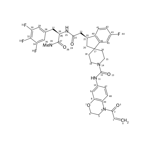 C=CC(=O)N1CCOc2cc(NC(=O)N3CCC4(CC3)C[C@@H](CC(=O)N[C@H](Cc3cc(F)c(F)c(F)c3)C(=O)NC)c3ccc(F)cc34)ccc21